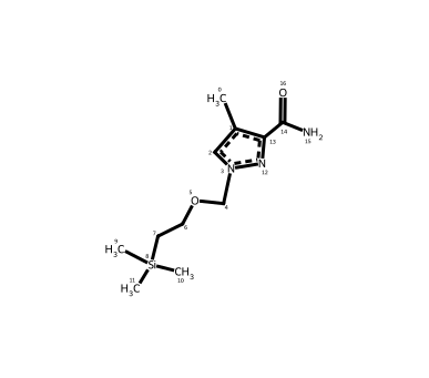 Cc1cn(COCC[Si](C)(C)C)nc1C(N)=O